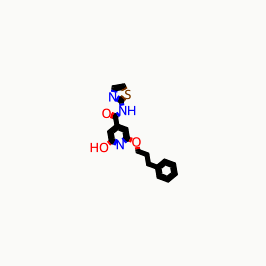 O=C(Nc1nccs1)c1cc(O)nc(OCCCc2ccccc2)c1